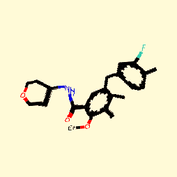 CCOc1c(C(=O)NC2CCOCC2)cc(Cc2ccc(C)c(F)c2)c(C)c1C